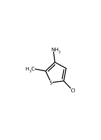 Cc1sc(Cl)cc1N